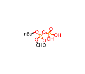 CCCCOP(=O)(OC=O)OP(=O)(O)O